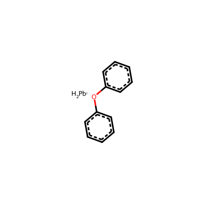 [PbH2].c1ccc(Oc2ccccc2)cc1